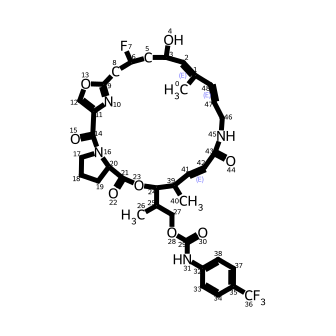 CC1=C\C(O)CC(F)Cc2nc(co2)C(=O)N2CCCC2C(=O)OC(C(C)COC(=O)Nc2ccc(C(F)(F)F)cc2)C(C)/C=C/C(=O)NC\C=C\1